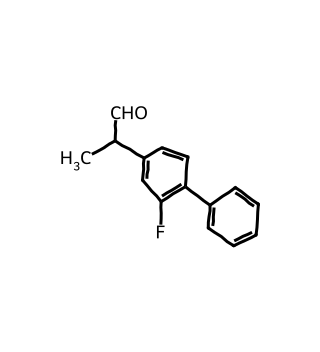 CC(C=O)c1ccc(-c2ccccc2)c(F)c1